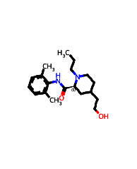 CCCN1CCC(CCO)C[C@H]1C(=O)Nc1c(C)cccc1C